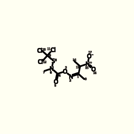 CC(=NOC(=O)N(C)SC(Cl)(Cl)Cl)C(C)[N+](=O)[O-]